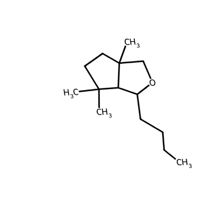 CCCCC1OCC2(C)CCC(C)(C)C12